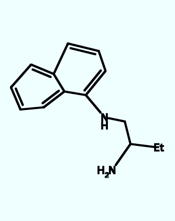 CCC(N)CNc1cccc2ccccc12